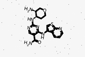 NC(=O)c1cnc(N[C@@H]2CCOC[C@@H]2N)nc1Nc1csc2ncccc12